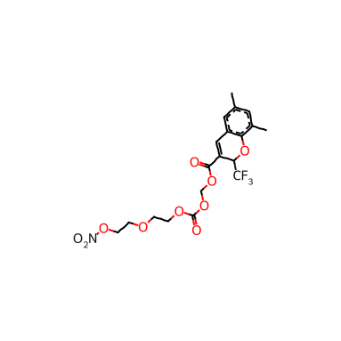 Cc1cc(C)c2c(c1)C=C(C(=O)OCOC(=O)OCCOCCO[N+](=O)[O-])C(C(F)(F)F)O2